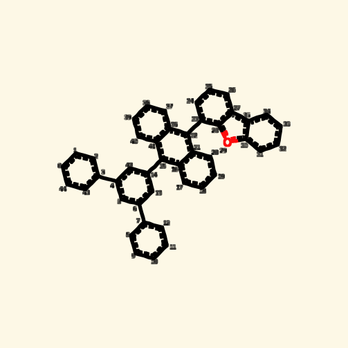 c1ccc(-c2cc(-c3ccccc3)cc(-c3c4ccccc4c(-c4cccc5c4oc4ccccc45)c4ccccc34)c2)cc1